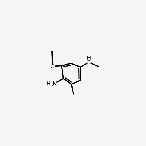 CBc1cc(C)c(N)c(OC)c1